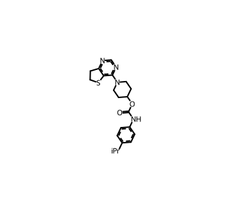 CC(C)c1ccc(NC(=O)OC2CCN(c3ncnc4c3SCC4)CC2)cc1